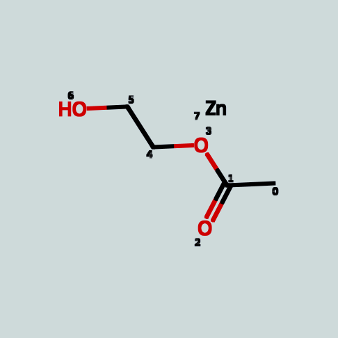 CC(=O)OCCO.[Zn]